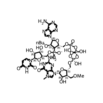 CCCCO[C@@H]1[C@H](P(=O)([O-])OC[C@H]2O[C@@H](n3ccc(=O)[nH]c3=O)[C@H](O)[C@@H]2O)[C@@H](COP(=O)(O)OP(=O)(O)OP(=O)(O)OC[C@H]2O[C@@H](n3c[n+](C)c4c(=O)[nH]c(N)nc43)[C@H](O)[C@@H]2COC)O[C@H]1n1cnc2c(N)ncnc21